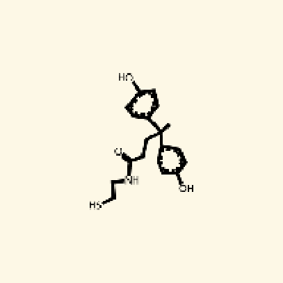 CC(CCC(=O)NCCS)(c1ccc(O)cc1)c1ccc(O)cc1